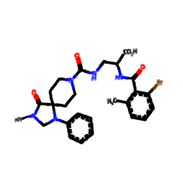 CCCN1CN(c2ccccc2)C2(CCN(C(=O)NCC(NC(=O)c3c(C)cccc3Br)C(=O)O)CC2)C1=O